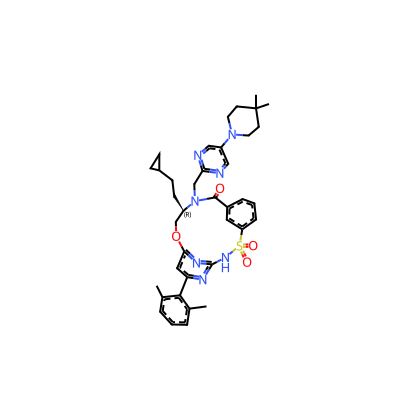 Cc1cccc(C)c1-c1cc2nc(n1)NS(=O)(=O)c1cccc(c1)C(=O)N(Cc1ncc(N3CCC(C)(C)CC3)cn1)[C@H](CCC1CC1)CO2